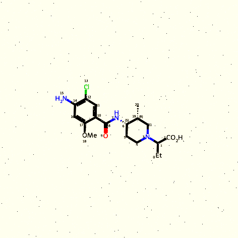 CCC(C(=O)O)N1CC[C@H](NC(=O)c2cc(Cl)c(N)cc2OC)[C@H](C)C1